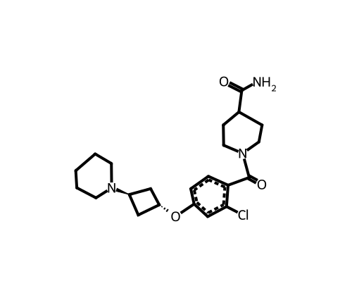 NC(=O)C1CCN(C(=O)c2ccc(O[C@H]3C[C@H](N4CCCCC4)C3)cc2Cl)CC1